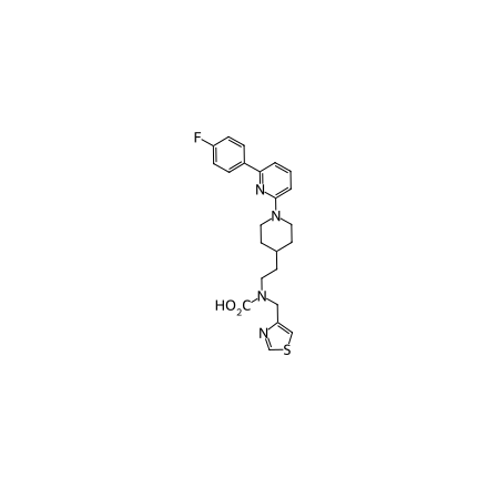 O=C(O)N(CCC1CCN(c2cccc(-c3ccc(F)cc3)n2)CC1)Cc1cscn1